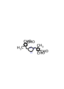 Cc1cc(C=O)c(C=O)cc1/C=C1/C=C\C(Cc2cc(C=O)c(C=O)cc2C)C/C=C\C1